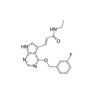 CCNC(=O)C=Cc1c[nH]c2ncnc(OCc3cccc(F)c3)c12